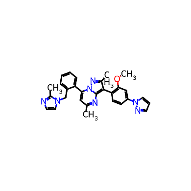 COc1cc(-n2cccn2)ccc1-c1c(C)nn2c(-c3ccccc3Cn3ccnc3C)cc(C)nc12